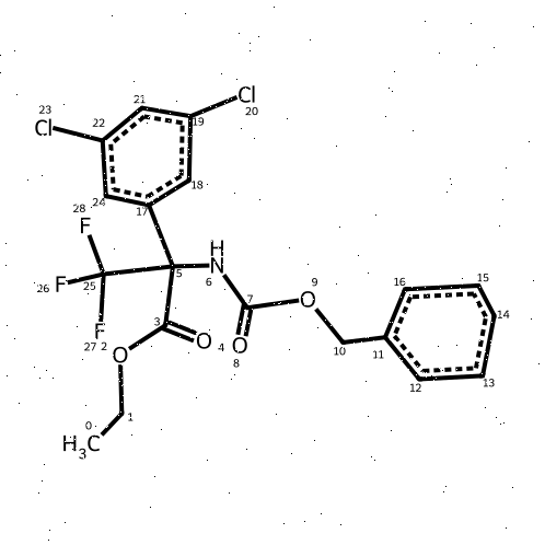 CCOC(=O)C(NC(=O)OCc1ccccc1)(c1cc(Cl)cc(Cl)c1)C(F)(F)F